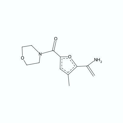 C=C(N)c1oc(C(=O)N2CCOCC2)cc1C